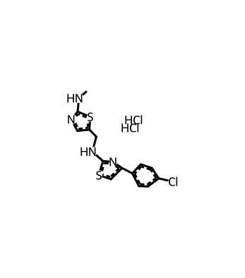 CNc1ncc(CNc2nc(-c3ccc(Cl)cc3)cs2)s1.Cl.Cl